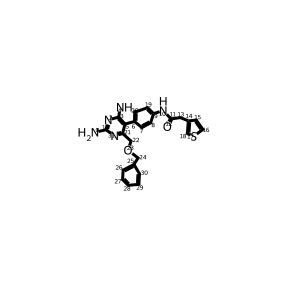 Nc1nc(N)c(-c2ccc(NC(=O)Cc3ccsc3)cc2)c(COCc2ccccc2)n1